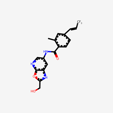 Cc1cc(/C=C/C(F)(F)F)ccc1C(=O)Nc1cnc2oc(CO)nc2c1